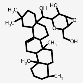 CC1CCCC2(C)C1CCC1(C)C3CCC4(C(O)C5OC(CO)C6OC6C5O)CCC(C)(C)CC4C3=CCC12